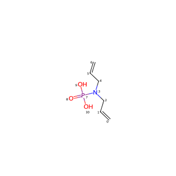 C=CCN(CC=C)P(=O)(O)O